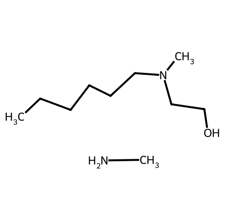 CCCCCCN(C)CCO.CN